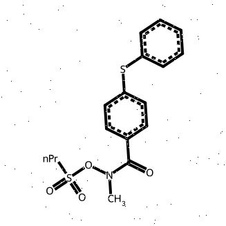 CCCS(=O)(=O)ON(C)C(=O)c1ccc(Sc2ccccc2)cc1